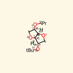 CC(C)O[C@@H]1CO[C@H]2[C@@H]1OC[C@H]2OC(C)(C)C